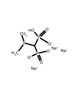 CN(C)C(P(=O)([O-])[O-])P(=O)([O-])O.[Na+].[Na+].[Na+]